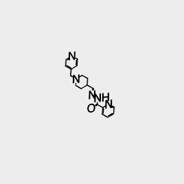 O=C(N/N=C/C1CCN(Cc2ccncc2)CC1)c1ccccn1